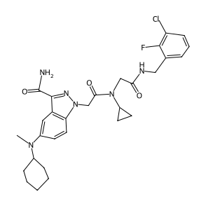 CN(c1ccc2c(c1)c(C(N)=O)nn2CC(=O)N(CC(=O)NCc1cccc(Cl)c1F)C1CC1)C1CCCCC1